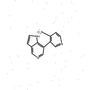 O=[N+]([O-])c1ccncc1-c1cncc2cc[nH]c12